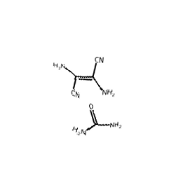 N#CC(N)=C(N)C#N.NC(N)=O